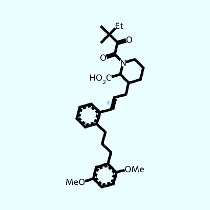 CCC(C)(C)C(=O)C(=O)N1CCCC(C/C=C/c2ccccc2CCCc2cc(OC)ccc2OC)C1C(=O)O